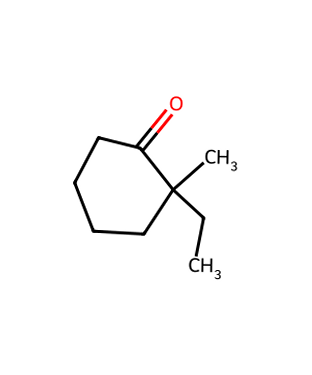 CCC1(C)CCCCC1=O